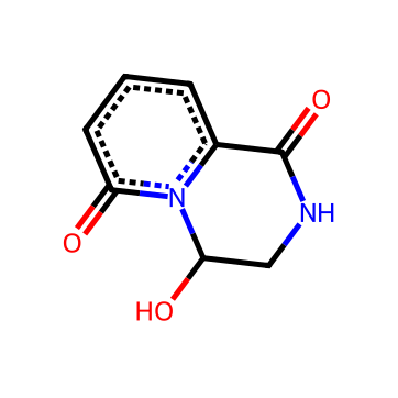 O=C1NCC(O)n2c1cccc2=O